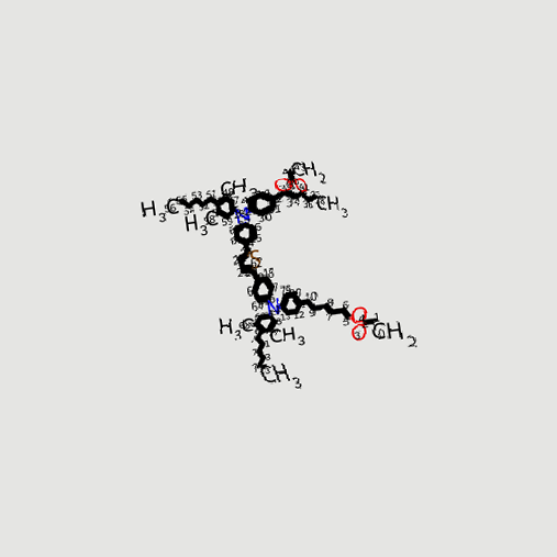 C=CC(=O)OCCCCCCc1ccc(N(c2ccc(-c3ccc(-c4ccc(N(c5ccc(C(CCCCC)OC(=O)C=C)cc5)c5cc(C)c(CCCCCC)c(C)c5)cc4)s3)cc2)c2cc(C)c(CCCCCC)c(C)c2)cc1